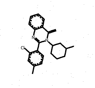 C=C1c2ccccc2N=C(c2ccc(C)cc2Cl)N1C1CCCC(C)C1